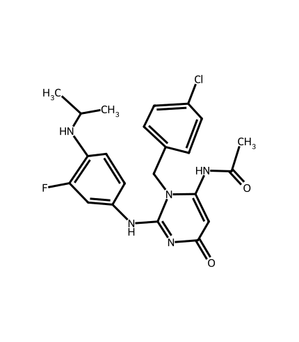 CC(=O)Nc1cc(=O)nc(Nc2ccc(NC(C)C)c(F)c2)n1Cc1ccc(Cl)cc1